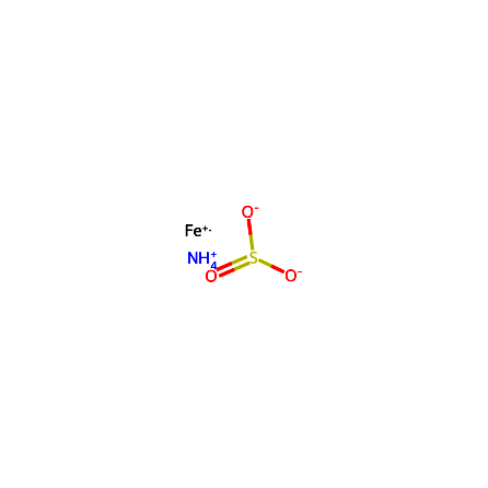 O=S([O-])[O-].[Fe+].[NH4+]